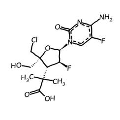 CC(C)(C(=O)O)[C@H]1[C@H](F)[C@H](n2cc(F)c(N)nc2=O)O[C@]1(CO)CCl